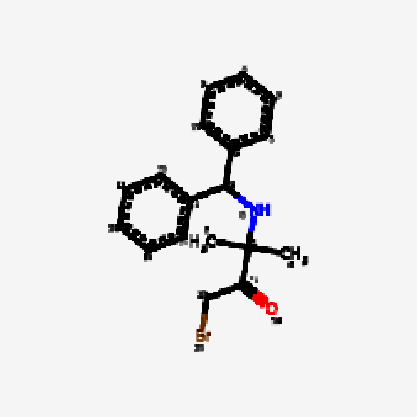 CC(C)(NC(c1ccccc1)c1ccccc1)C(=O)CBr